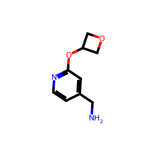 NCc1ccnc(OC2COC2)c1